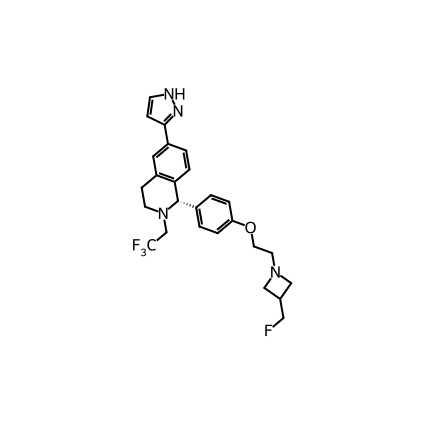 FCC1CN(CCOc2ccc([C@H]3c4ccc(-c5cc[nH]n5)cc4CCN3CC(F)(F)F)cc2)C1